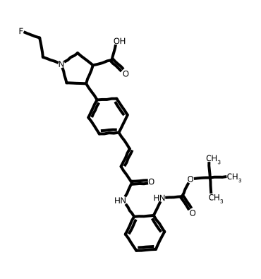 CC(C)(C)OC(=O)Nc1ccccc1NC(=O)/C=C/c1ccc(C2CN(CCF)CC2C(=O)O)cc1